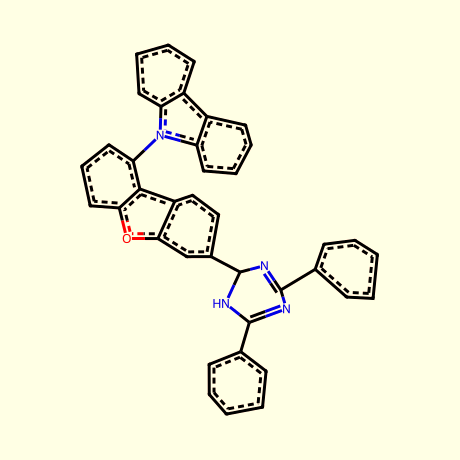 c1ccc(C2=NC(c3ccc4c(c3)oc3cccc(-n5c6ccccc6c6ccccc65)c34)NC(c3ccccc3)=N2)cc1